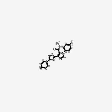 CC(C)n1c(=O)c2c(-c3nc(-c4ccc(F)cc4)no3)ncn2c2ccc(F)cc21